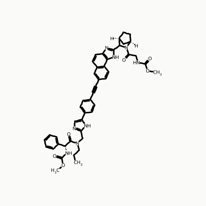 CCCN(Cc1ncc(-c2ccc(C#Cc3ccc4c(ccc5nc(C6[C@H]7CC[C@H](C7)N6C(=O)CNC(=O)OC)[nH]c54)c3)cc2)[nH]1)C(=O)[C@H](NC(=O)OC)c1ccccc1